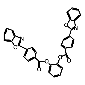 O=C(Oc1ccccc1OC(=O)c1ccc(-c2nc3ccccc3o2)cc1)c1ccc(-c2nc3ccccc3o2)cc1